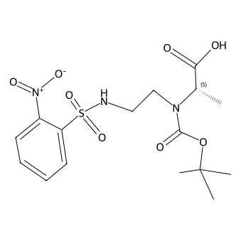 C[C@@H](C(=O)O)N(CCNS(=O)(=O)c1ccccc1[N+](=O)[O-])C(=O)OC(C)(C)C